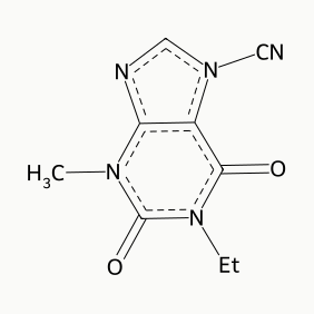 CCn1c(=O)c2c(ncn2C#N)n(C)c1=O